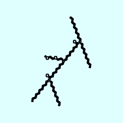 CCCCCCCCCCN(CCCCCCCCCC)C(=O)CCCCCCCN(CCCCCCCC(=O)N(CCCCCCCCCC)CCCCCCCCCC)CCOCCOC